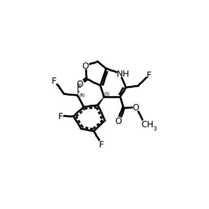 COC(=O)C1=C(CF)NC2=C(C(=O)OC2)[C@@H]1c1cc(F)cc(F)c1[C@@H](F)CF